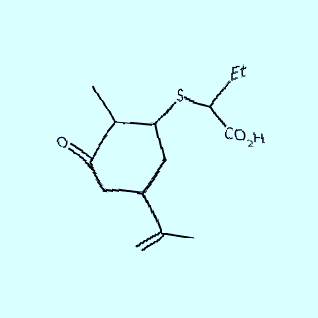 C=C(C)C1CC(=O)C(C)C(SC(CC)C(=O)O)C1